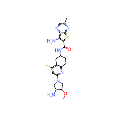 COC1CN(c2cc(F)c3c(n2)CCC(NC(=O)c2sc4nc(C)cnc4c2N)C3)CC1N